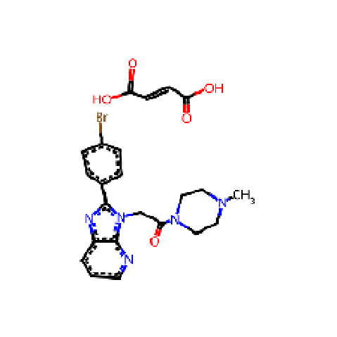 CN1CCN(C(=O)Cn2c(-c3ccc(Br)cc3)nc3cccnc32)CC1.O=C(O)C=CC(=O)O